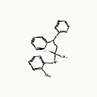 COc1ccccc1NC(C)(CC(c1ccccc1)c1ccccc1)C(=O)O